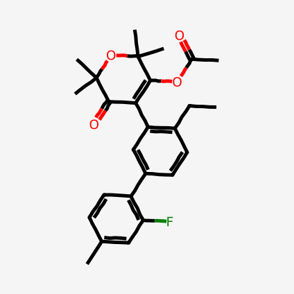 CCc1ccc(-c2ccc(C)cc2F)cc1C1=C(OC(C)=O)C(C)(C)OC(C)(C)C1=O